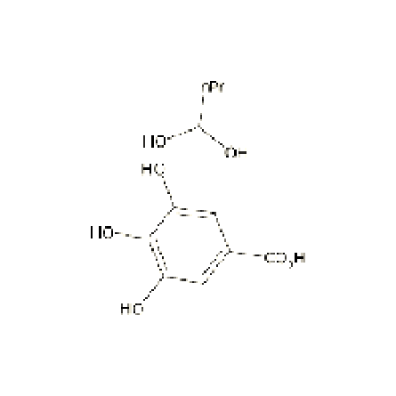 CCCC(O)O.O=C(O)c1cc(O)c(O)c(O)c1